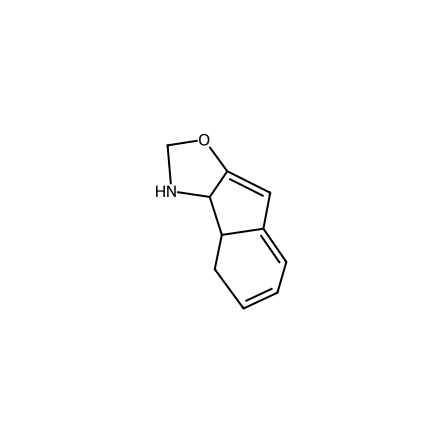 C1=CCC2C(=C1)C=C1OCNC12